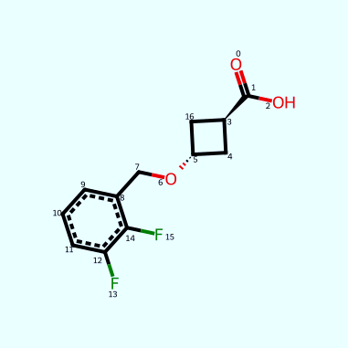 O=C(O)[C@H]1C[C@H](OCc2cccc(F)c2F)C1